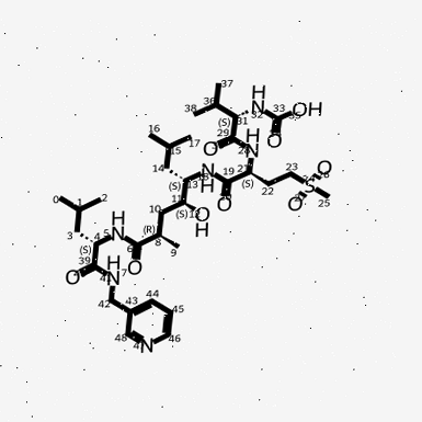 CC(C)C[C@H](NC(=O)[C@H](C)C[C@H](O)[C@H](CC(C)C)NC(=O)[C@H](CCS(C)(=O)=O)NC(=O)[C@@H](NC(=O)O)C(C)C)C(=O)NCc1cccnc1